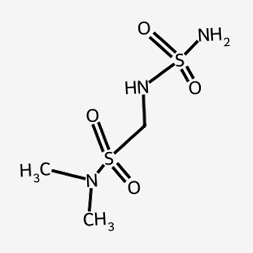 CN(C)S(=O)(=O)CNS(N)(=O)=O